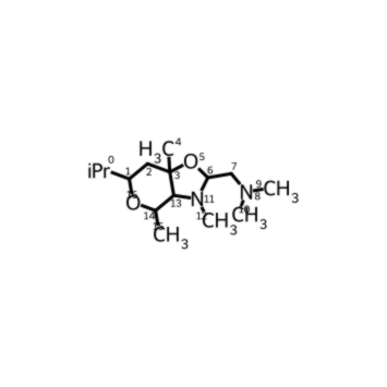 CC(C)C1CC2(C)OC(CN(C)C)N(C)C2C(C)O1